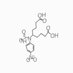 O=C(O)CCCC(CCCC(=O)O)N(c1ccc([N+](=O)[O-])cc1)[SH](=O)=O